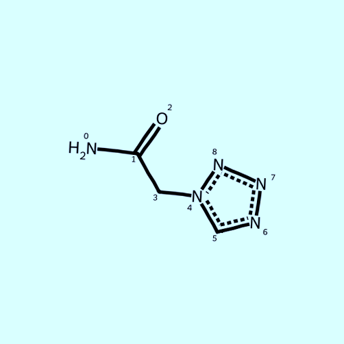 NC(=O)Cn1[c]nnn1